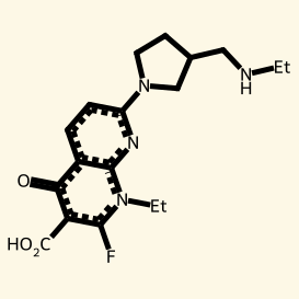 CCNCC1CCN(c2ccc3c(=O)c(C(=O)O)c(F)n(CC)c3n2)C1